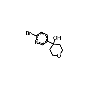 OC1(c2ccc(Br)nc2)CCOCC1